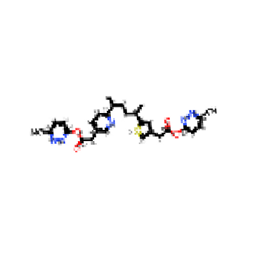 CC(CCC(C)c1cc(CC(=O)Oc2ccc(C#N)nn2)cs1)c1ccc(CC(=O)Oc2ccc(C#N)nn2)cn1